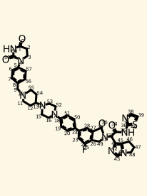 O=C1CCN(c2ccc(CN3CCC(N4CCN(c5ccc(-c6cc(F)c7c(c6)C(=O)N(C(C(=O)Nc6nccs6)c6ncn8c6CCC8)C7)cc5)CC4)CC3)cc2)C(=O)N1